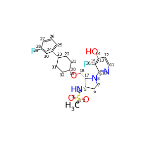 CS(=O)(=O)N[C@H]1CCN(c2nccc(O)c2F)[C@H]1CO[C@H]1CC[C@@H](c2cccc(F)c2)CC1